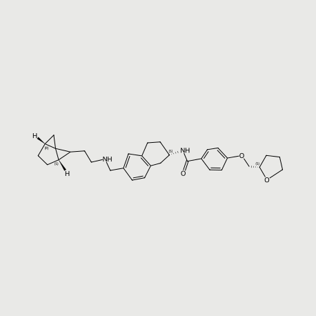 O=C(N[C@H]1CCc2cc(CNCCC3[C@@H]4CC[C@@H]5CC354)ccc2C1)c1ccc(OC[C@@H]2CCCO2)cc1